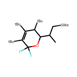 CSCC(C)C1OC(F)(F)C(C(C)(C)C)=C(C(C)(C)C)C1C(C)(C)C